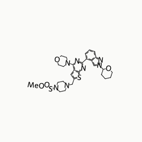 COOSN1CCN(Cc2cc3c(N4CCOCC4)nc(-c4cccc5nn(C6CCCCO6)cc45)nc3s2)CC1